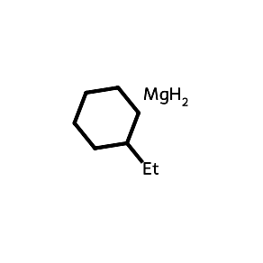 [CH2]CC1CCCCC1.[MgH2]